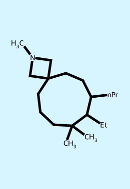 CCCC1CCC2(CCCC(C)(C)C1CC)CN(C)C2